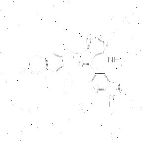 Nc1ncnc2c1c(-c1cnc3[nH]ccc3c1)nn2Cc1ccc2c(c1)CCNC2